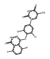 N#Cc1cn(-c2cc(Cl)c(Oc3n[nH]c(=O)c4c(F)ccc(F)c34)c(Cl)c2)c(=O)[nH]c1=O